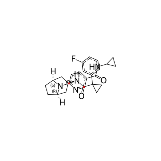 O=C(NC1CC1)c1ccc(N2[C@@H]3CC[C@H]2C[C@@H](NC(=O)C2(c4cccc(F)c4)CC2)C3)nc1